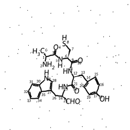 C[C@H](N)C(=O)N[C@@H](CS)C(=O)N[C@@H](Cc1ccc(O)cc1)C(=O)N[C@@H]([C]=O)Cc1c[nH]c2ccccc12